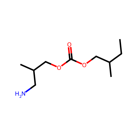 CCC(C)COC(=O)OCC(C)CN